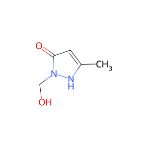 Cc1cc(=O)n(CO)[nH]1